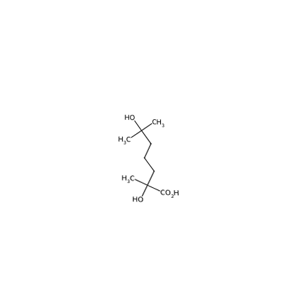 CC(C)(O)CCCC(C)(O)C(=O)O